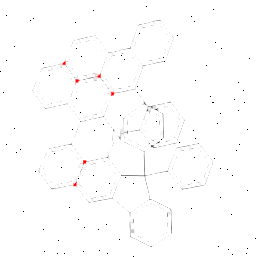 c1ccc(-c2c(N(c3ccccc3-c3cc4ccccc4c4ccccc34)c3cccc4c3C(c3ccccc3)(c3ccccc3)c3ccccc3-4)ccc3ccccc23)cc1